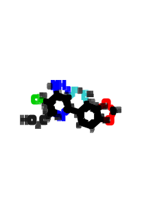 Nc1c(F)c(-c2ccc3c(c2F)OCO3)nc(C(=O)O)c1Cl